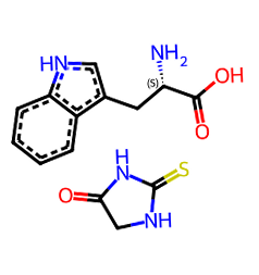 N[C@@H](Cc1c[nH]c2ccccc12)C(=O)O.O=C1CNC(=S)N1